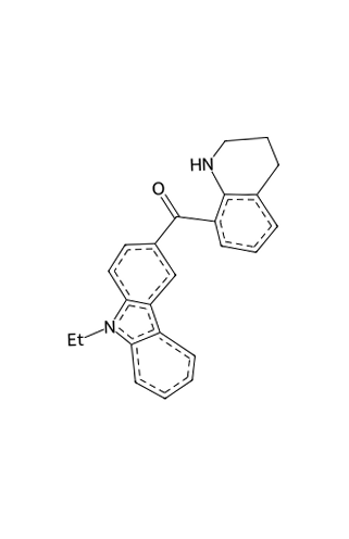 CCn1c2ccccc2c2cc(C(=O)c3cccc4c3NCCC4)ccc21